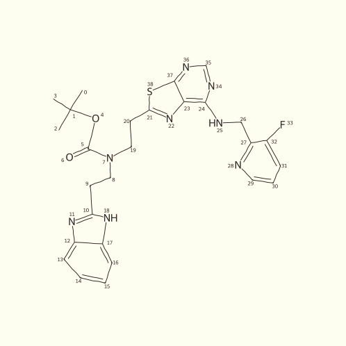 CC(C)(C)OC(=O)N(CCc1nc2ccccc2[nH]1)CCc1nc2c(NCc3ncccc3F)ncnc2s1